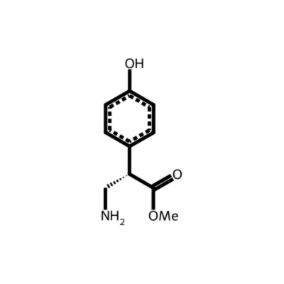 COC(=O)[C@H](CN)c1ccc(O)cc1